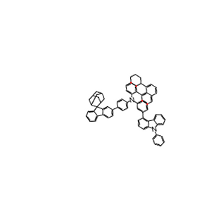 c1ccc(-n2c3ccccc3c3c(-c4cccc(N(c5ccc(-c6ccc7c(c6)C6(c8ccccc8-7)C7CC8CC(C7)CC6C8)cc5)c5ccccc5-c5cccc6cccc(C7CCCCC7)c56)c4)cccc32)cc1